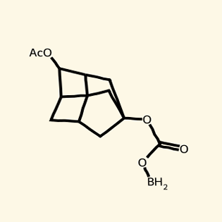 BOC(=O)OC12CC3CC4C(OC(C)=O)C(C1)C34C2